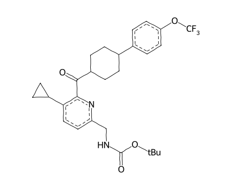 CC(C)(C)OC(=O)NCc1ccc(C2CC2)c(C(=O)C2CCC(c3ccc(OC(F)(F)F)cc3)CC2)n1